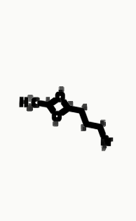 CC1OC(CCCBr)O1